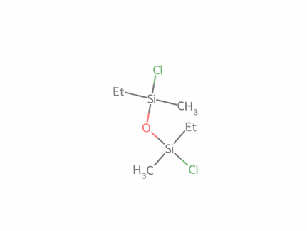 CC[Si](C)(Cl)O[Si](C)(Cl)CC